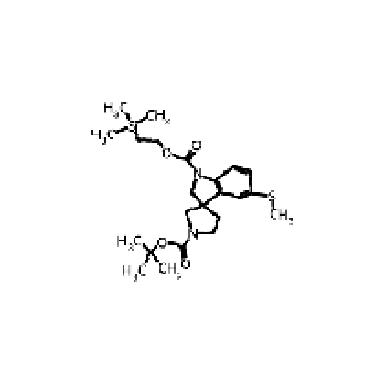 CSc1ccc2c(c1)C1(CCN(C(=O)OC(C)(C)C)C1)CN2C(=O)OCC[Si](C)(C)C